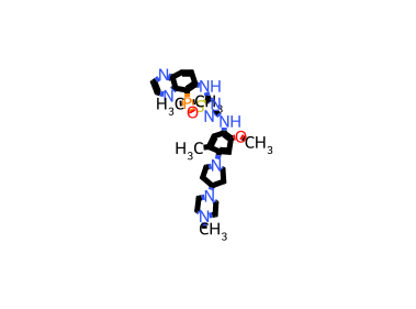 COc1cc(N2CCC(N3CCN(C)CC3)CC2)c(C)cc1Nc1nsc(Nc2ccc3nccnc3c2P(C)(C)=O)n1